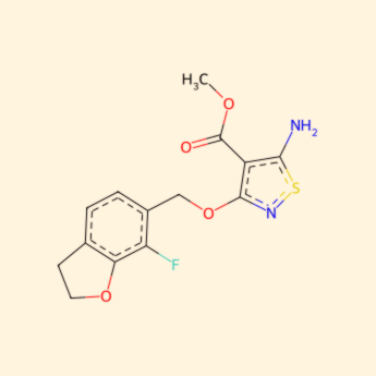 COC(=O)c1c(OCc2ccc3c(c2F)OCC3)nsc1N